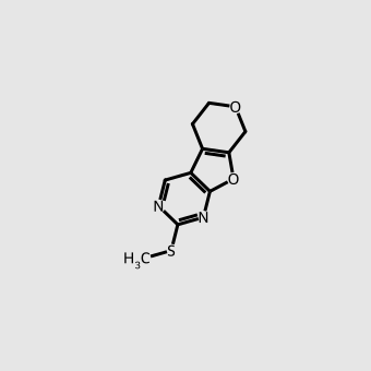 CSc1ncc2c3c(oc2n1)COCC3